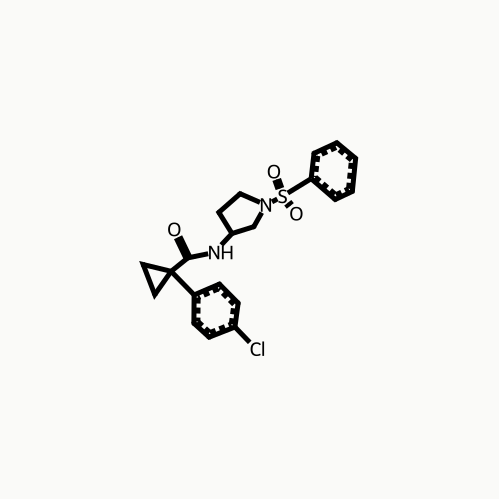 O=C(NC1CCN(S(=O)(=O)c2ccccc2)C1)C1(c2ccc(Cl)cc2)CC1